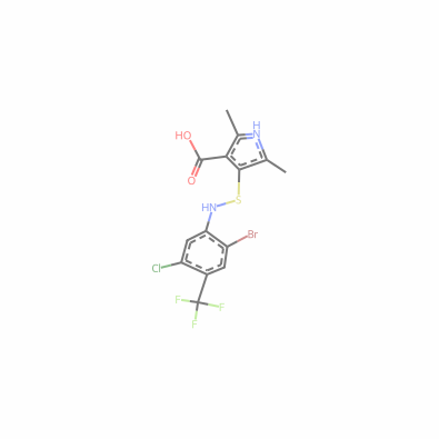 Cc1[nH]c(C)c(C(=O)O)c1SNc1cc(Cl)c(C(F)(F)F)cc1Br